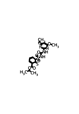 COc1cc(OC)nc(NC(=O)NS(=O)(=O)C2C=CC=C(C(=O)OC(C)C)C2=S)n1